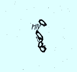 c1ccc(Nc2ccc3c(c2)oc2cc4ccccc4cc23)cc1